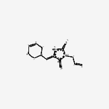 C=CCn1c(=S)[nH]/c(=C\C2CC=CCC2)c1=C